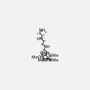 CO[Si](OC)(OC)C(CCNCCNCCN)[Si](OC)(OC)OC